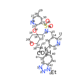 CCn1nnc2c(C)c([C@@H](c3cnc(C)c(CN4CC5(CCOCC5)Oc5ncc(C)cc5S4(=O)=O)c3)C(C)(C)C(=O)O)ccc21